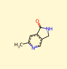 Cc1cc2c(cn1)CNC2=O